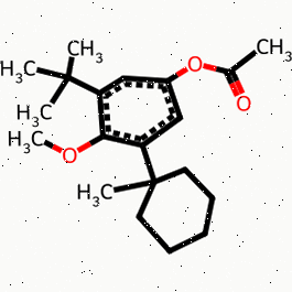 COc1c(C(C)(C)C)cc(OC(C)=O)cc1C1(C)CCCCC1